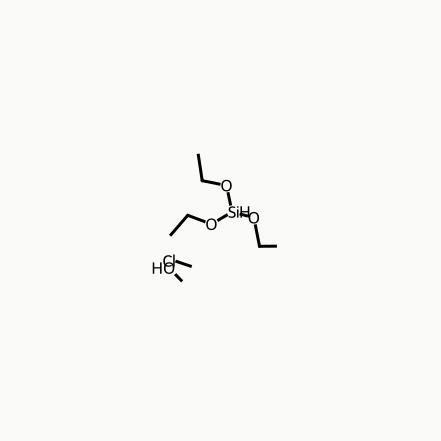 CCO[SiH](OCC)OCC.CCl.CO